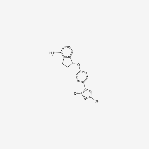 Bc1cccc2c1CC[C@H]2Oc1ccc(-c2cc(O)n[s+]2[O-])cc1